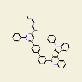 C=C/C=C\C=C(/C)c1cc(-c2ccc(-c3cccc(-c4nc5ccccc5c5c4sc4c5c5ccccc5n4-c4ccccc4)c3)cc2)nc(-c2ccccc2)n1